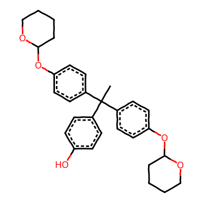 CC(c1ccc(O)cc1)(c1ccc(OC2CCCCO2)cc1)c1ccc(OC2CCCCO2)cc1